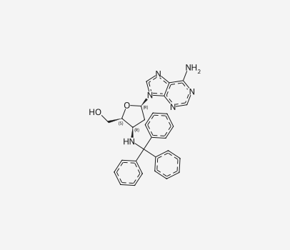 Nc1ncnc2c1ncn2[C@H]1C[C@@H](NC(c2ccccc2)(c2ccccc2)c2ccccc2)[C@@H](CO)O1